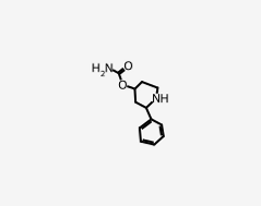 NC(=O)OC1CCNC(c2ccccc2)C1